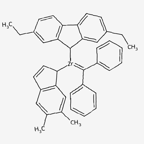 CCc1ccc2c(c1)[CH]([Zr](=[C](c1ccccc1)c1ccccc1)[CH]1C=Cc3cc(C)c(C)cc31)c1cc(CC)ccc1-2